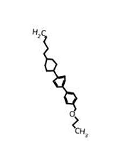 C=CCCCC1CCC(c2ccc(-c3ccc(COCCC)cc3)cc2)CC1